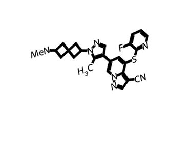 CNC1CC2(C1)CC(n1ncc(-c3cc(Sc4ncccc4F)c4c(C#N)cnn4c3)c1C)C2